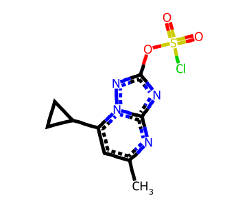 Cc1cc(C2CC2)n2nc(OS(=O)(=O)Cl)nc2n1